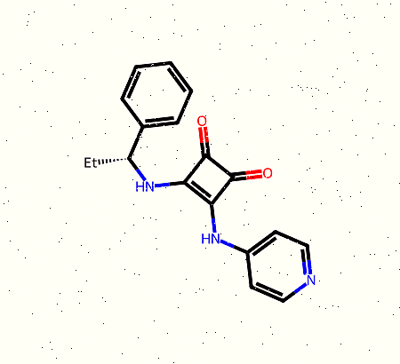 CC[C@@H](Nc1c(Nc2ccncc2)c(=O)c1=O)c1ccccc1